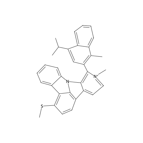 CSc1ccc2c3cc[n+](C)c(-c4cc(C(C)C)c5ccccc5c4C)c3n3c4ccccc4c1c23